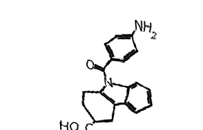 Nc1ccc(C(=O)n2c3c(c4ccccc42)CC(C(=O)O)CC3)cc1